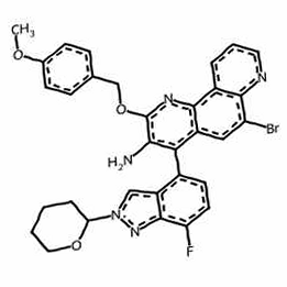 COc1ccc(COc2nc3c(cc(Br)c4ncccc43)c(-c3ccc(F)c4nn(C5CCCCO5)cc34)c2N)cc1